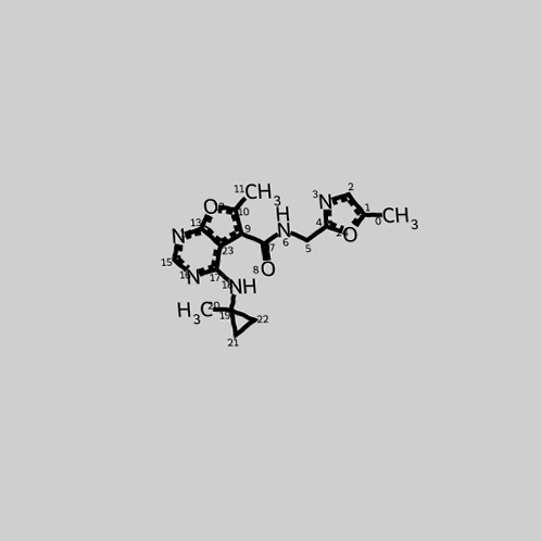 Cc1cnc(CNC(=O)c2c(C)oc3ncnc(NC4(C)CC4)c23)o1